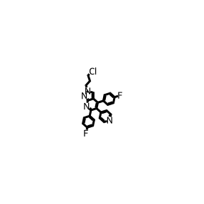 Fc1ccc(-c2nc3nn(CCCCl)cc3c(-c3ccc(F)cc3)c2-c2ccncc2)cc1